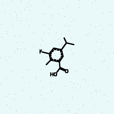 Cc1c(F)cc(C(C)C)cc1C(=O)O